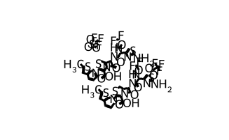 Cc1cc2ccc[n+](C3=C(C(=O)O)N4C(=O)C(NC(=O)C(=NOC(F)F)c5csc(N)n5)C4CS3)c2s1.Cc1cc2ccc[n+](C3=C(C(=O)O)N4C(=O)C(NC(=O)C(=NOC(F)F)c5csc(N)n5)C4CS3)c2s1.O=C([O-])C(F)(F)F.O=S(=O)([O-])C(F)(F)F